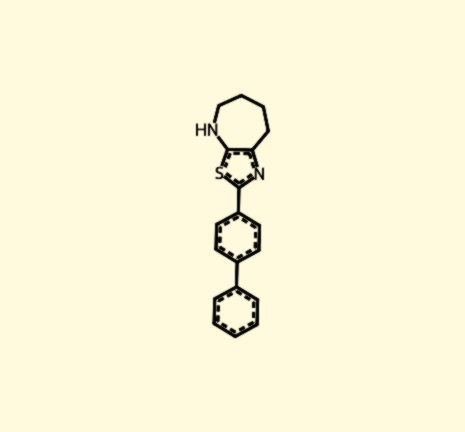 c1ccc(-c2ccc(-c3nc4c(s3)NCCCC4)cc2)cc1